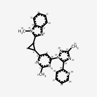 Cc1nc(C2CC2c2nc3ccccc3n2C)cc(-n2nc(C)nc2-c2ccccn2)n1